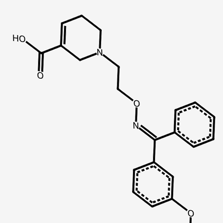 COc1cccc(C(=NOCCN2CCC=C(C(=O)O)C2)c2ccccc2)c1